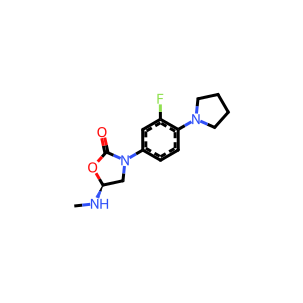 CN[C@@H]1CN(c2ccc(N3CCCC3)c(F)c2)C(=O)O1